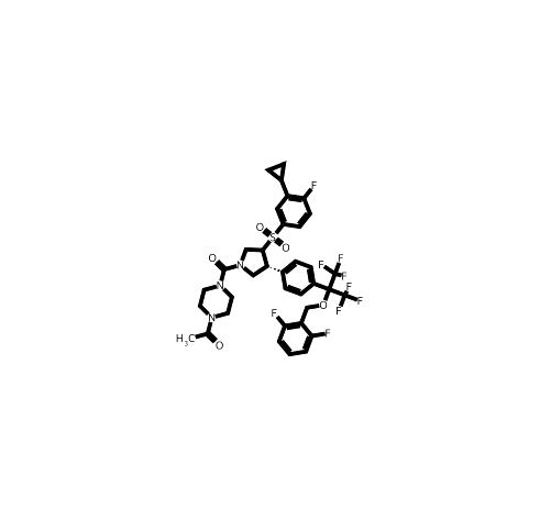 CC(=O)N1CCN(C(=O)N2CC(S(=O)(=O)c3ccc(F)c(C4CC4)c3)[C@H](c3ccc(C(OCc4c(F)cccc4F)(C(F)(F)F)C(F)(F)F)cc3)C2)CC1